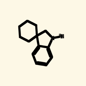 [2H]N1CC2(CCCCC2)c2ccccc21